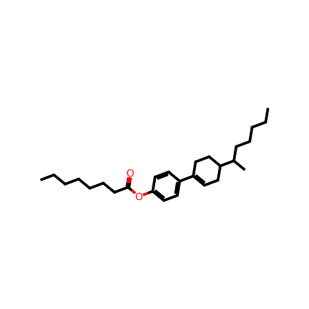 CCCCCCCC(=O)Oc1ccc(C2=CCC(C(C)CCCCC)CC2)cc1